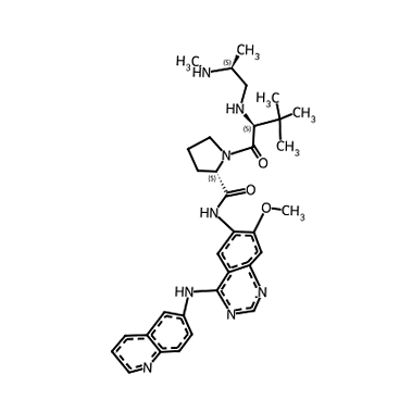 CN[C@@H](C)CN[C@H](C(=O)N1CCC[C@H]1C(=O)Nc1cc2c(Nc3ccc4ncccc4c3)ncnc2cc1OC)C(C)(C)C